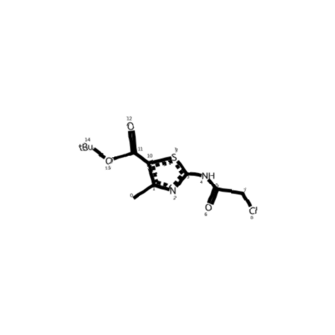 Cc1nc(NC(=O)CCl)sc1C(=O)OC(C)(C)C